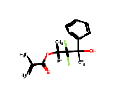 C=C(C)C(=O)OC(C)(CC)C(F)(F)C(O)(c1ccccc1)C(F)(F)F